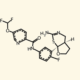 NC1=NC[C@H]2CCO[C@@]2(c2cc(NC(=O)c3ccc(OC(F)F)cn3)ccc2F)S1